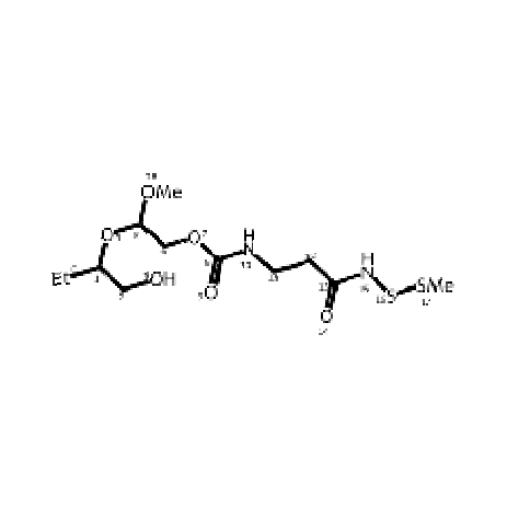 CCC(CO)OC(COC(=O)NCCC(=O)NSSC)OC